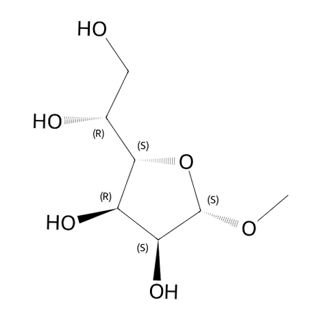 CO[C@H]1O[C@@H]([C@H](O)CO)[C@H](O)[C@@H]1O